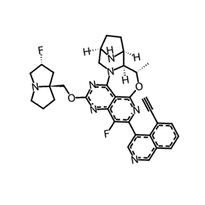 C#Cc1cccc2cncc(-c3nc4c5c(nc(OC[C@@]67CCCN6C[C@H](F)C7)nc5c3F)N3C[C@H]5CC[C@H](N5)[C@H]3[C@H](C)O4)c12